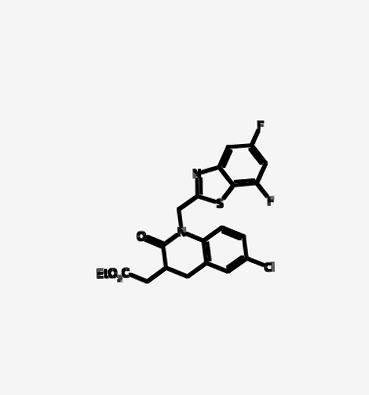 CCOC(=O)CC1Cc2cc(Cl)ccc2N(Cc2nc3cc(F)cc(F)c3s2)C1=O